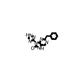 O=c1[nH]c2cnc(Cc3ccccc3)nc2n1-c1nc[nH]n1